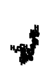 CC(C)NCc1cc(C(=O)N2CCC(N3C[C](n4cc(-c5ncnc6[nH]ccc56)cn4)C3)CC2)nc(C(F)(F)F)n1